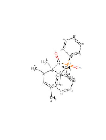 CC1=CC(C)[C@@](C)(C(=O)P(=O)(c2ccccc2)c2ccccc2)C(C)(C)C1